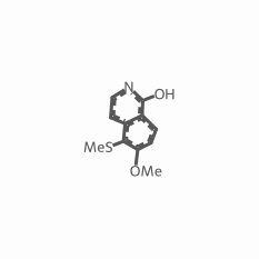 COc1ccc2c(O)nccc2c1SC